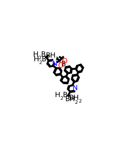 BC(B)(B)c1ccc(-c2ccc(-c3ccccc3-c3cc(B4OC(C)(C)C(C)(C)O4)cc(-c4ccccc4-c4ccc(-c5ccc(C(B)(B)B)cn5)cc4)c3)cc2)nc1